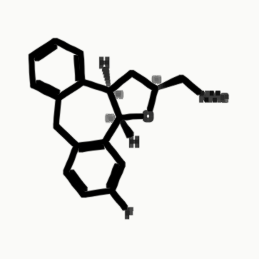 CNC[C@@H]1C[C@@H]2c3ccccc3Cc3ccc(F)cc3[C@H]2O1